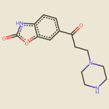 O=C(CCN1CCNCC1)c1ccc2[nH]c(=O)oc2c1